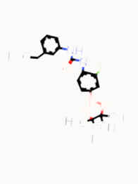 CCc1cccc(NC(=O)Nc2ccc(B3OC(C)(C)C(C)(C)O3)cc2F)c1